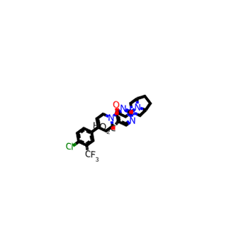 O=C(O)c1cnc(N2C3CCC2CN(CC(=O)N2CC=C(c4ccc(Cl)c(C(F)(F)F)c4)CC2)C3)nc1